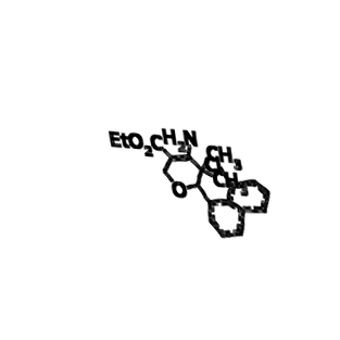 CCOC(=O)C1=C(N)C(C)(C)C(c2cccc3cccc(Cl)c23)OC1